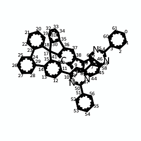 c1ccc(-c2ncc(-c3cc(-c4ccc5c(c4)C4(c6ccccc6-c6ccccc6-5)c5ccccc5-c5cc6c(cc54)oc4ccccc46)nc(-c4ccccc4)n3)cn2)cc1